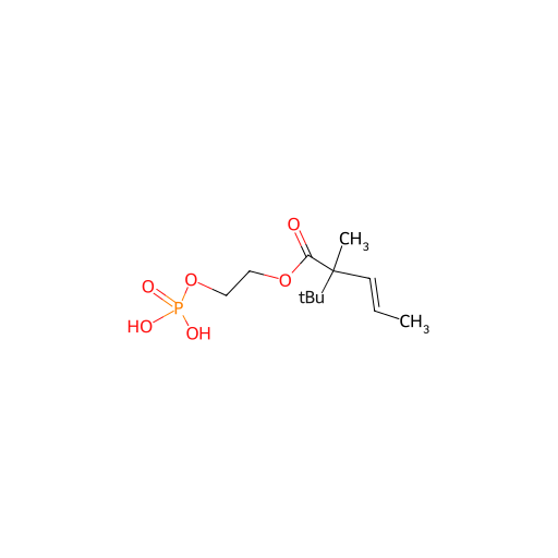 C/C=C/C(C)(C(=O)OCCOP(=O)(O)O)C(C)(C)C